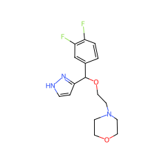 Fc1ccc(C(OCCN2CCOCC2)c2cc[nH]n2)cc1F